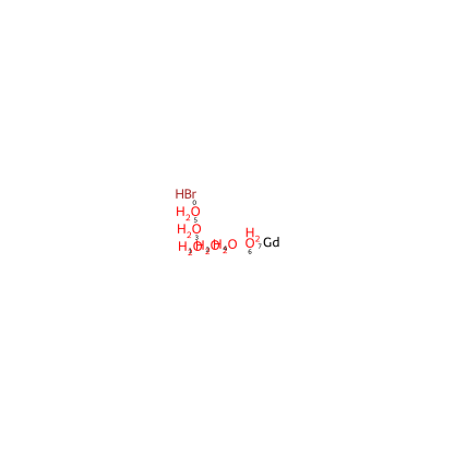 Br.O.O.O.O.O.O.[Gd]